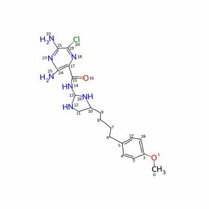 COc1ccc(CCCCC2CNC(NC(=O)c3nc(Cl)c(N)nc3N)N2)cc1